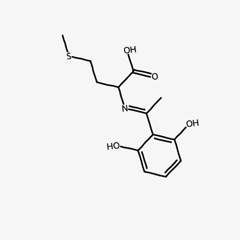 CSCCC(N=C(C)c1c(O)cccc1O)C(=O)O